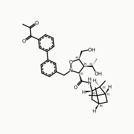 CC(=O)C(=O)c1cccc(-c2cccc(CN3O[C@@H](CO)[C@@H]([C@H](C)O)[C@H]3C(=O)N[C@H]3C[C@H]4C[C@@H]([C@@H]3C)C4(C)C)c2)c1